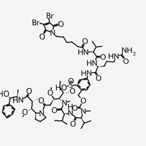 CC[C@H](C)[C@@H]([C@@H](CC(=O)N1CCC[C@H]1[C@H](OC)[C@@H](C)C(=O)N[C@H](C)[C@@H](O)c1ccccc1)OC)N(C)C(=O)[C@@H](NC(=O)[C@H](C(C)C)N(C)C(=O)OCc1ccc(NC(=O)[C@H](CCCNC(N)=O)NC(=O)[C@@H](NC(=O)CCCCCN2C(=O)C(Br)=C(Br)C2=O)C(C)C)cc1S(=O)(=O)O)C(C)C